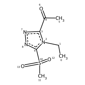 CCn1c(C(C)=O)nnc1S(C)(=O)=O